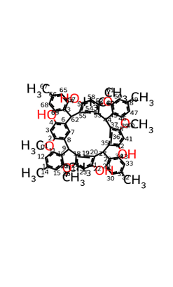 COc1cc(O)c2cc1C(c1ccc(C)cc1C)c1cc(c(O)cc1OC)C(c1ccc(C)cc1)c1cc(c(OC)cc1O)C(c1ccc(C)cc1C)c1cc(c(O)cc1OC)C2c1ccc(C)cc1